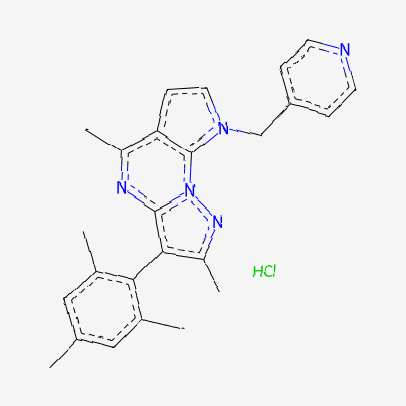 Cc1cc(C)c(-c2c(C)nn3c2nc(C)c2ccn(Cc4ccncc4)c23)c(C)c1.Cl